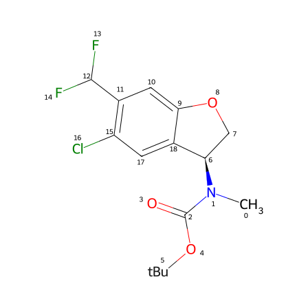 CN(C(=O)OC(C)(C)C)[C@@H]1COc2cc(C(F)F)c(Cl)cc21